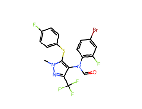 Cn1nc(C(F)(F)F)c(N(C=O)c2ccc(Br)cc2F)c1Sc1ccc(F)cc1